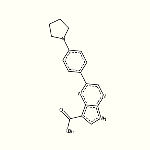 CC(C)(C)C(=O)c1c[nH]c2ncc(-c3ccc(N4CCCC4)cc3)nc12